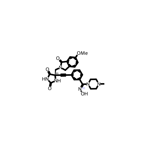 COc1ccc2c(c1)C(=O)N(C[C@@]1(C#Cc3cccc(/C(=N/O)N4CCN(C)CC4)c3)NC(=O)NC1=O)C2